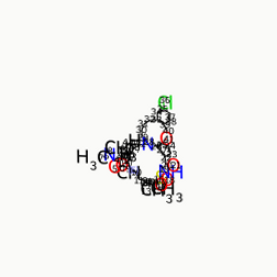 CO[C@@]1(CC(=O)N(C)C)/C=C/C[C@H](C)[C@@H](C)S(=O)(=O)NC(=O)c2ccc3c(c2)N(CCCCc2cc(Cl)ccc2CO3)C[C@@H]2CC[C@H]21